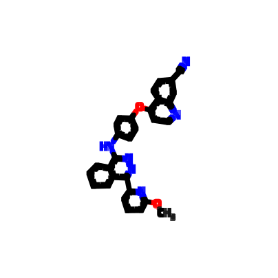 COc1cccc(-c2nnc(Nc3ccc(Oc4ccnc5cc(C#N)ccc45)cc3)c3ccccc23)n1